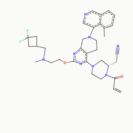 C=CC(=O)N1CCN(c2nc(OCCN(C)CC3CC(F)(F)C3)nc3c2CCN(c2cncc4cccc(C)c24)C3)C[C@@H]1CC#N